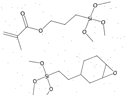 C=C(C)C(=O)OCCC[Si](OC)(OC)OC.CO[Si](CCC1CCC2OC2C1)(OC)OC